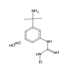 CCNC(=N)Nc1cccc(C(C)(C)N)c1.Cl.Cl